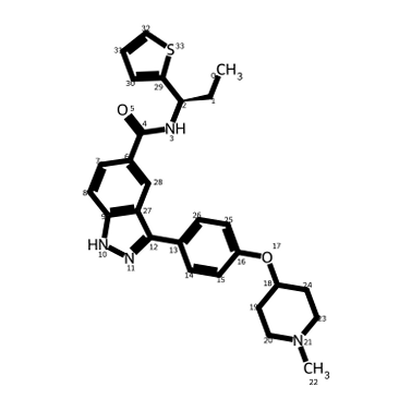 CC[C@@H](NC(=O)c1ccc2[nH]nc(-c3ccc(OC4CCN(C)CC4)cc3)c2c1)c1cccs1